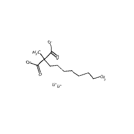 CCCCCCCCC(C)(C(=O)[O-])C(=O)[O-].[Li+].[Li+]